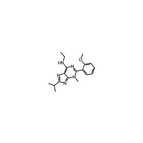 CCNc1nc(-c2ccccc2OC)n(C)c2nc(C(C)C)nc1-2